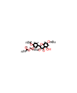 CCCCOc1cc(O)c2c(=O)c(OCCCC)c(-c3ccc(OCCCC)c(OCOC(=O)CCC)c3)oc2c1